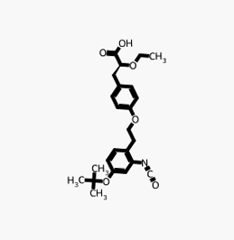 CCO[C@@H](Cc1ccc(OCCc2ccc(OC(C)(C)C)cc2N=C=O)cc1)C(=O)O